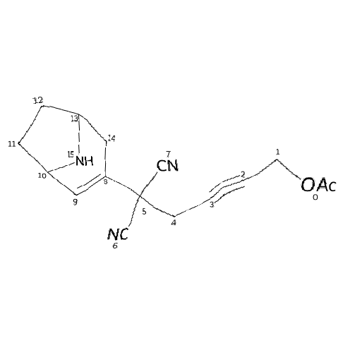 CC(=O)OCC#CCC(C#N)(C#N)C1=CC2CCC(C1)N2